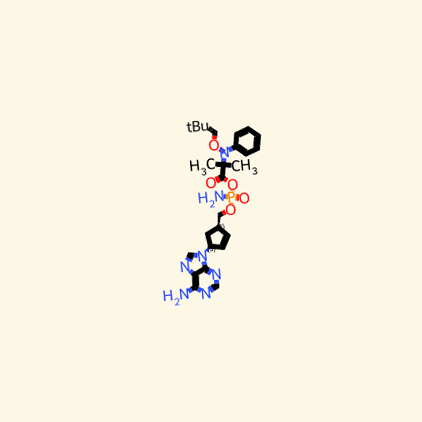 CC(C)(C)CON(c1ccccc1)C(C)(C)C(=O)OP(N)(=O)OC[C@H]1C=C[C@@H](n2cnc3c(N)ncnc32)C1